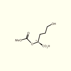 COC(=O)O[C@@H](CCCO)C(=O)O